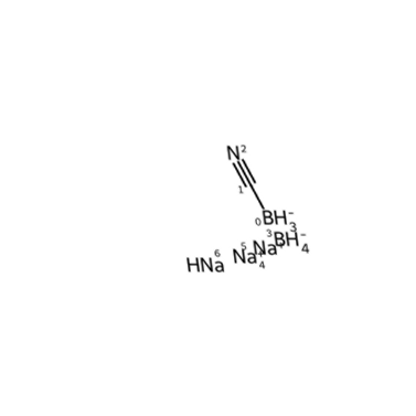 [BH3-]C#N.[BH4-].[Na+].[Na+].[NaH]